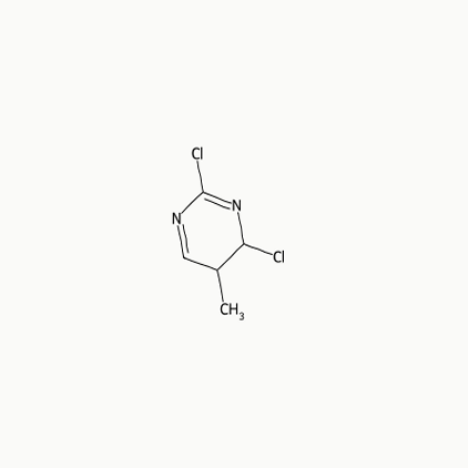 CC1C=NC(Cl)=NC1Cl